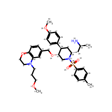 COCCCN1CCOc2ccc(CO[C@H]3CN(S(=O)(=O)c4ccc(C)cc4)[C@@H](C[C@H](C)N)C[C@@H]3c3ccc(OC)cc3)cc21